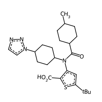 CC1CCC(C(=O)N(c2cc(C(C)(C)C)sc2C(=O)O)C2CCC(n3ccnn3)CC2)CC1